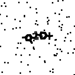 Cc1ccc(NC(=O)c2ccc(C(C)(C)C)cc2)c(C)c1